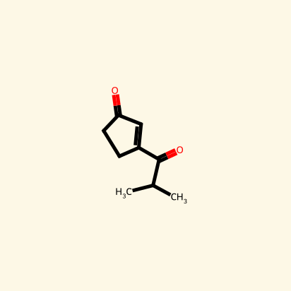 CC(C)C(=O)C1=CC(=O)CC1